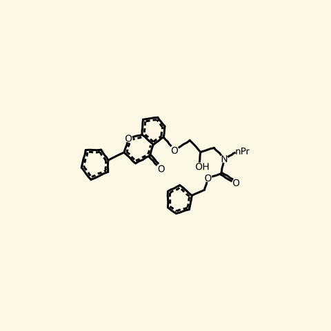 CCCN(CC(O)COc1cccc2oc(-c3ccccc3)cc(=O)c12)C(=O)OCc1ccccc1